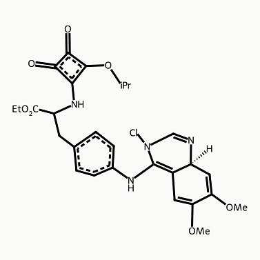 CCOC(=O)C(Cc1ccc(NC2=C3C=C(OC)C(OC)=C[C@@H]3N=CN2Cl)cc1)Nc1c(OC(C)C)c(=O)c1=O